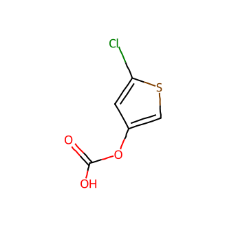 O=C(O)Oc1csc(Cl)c1